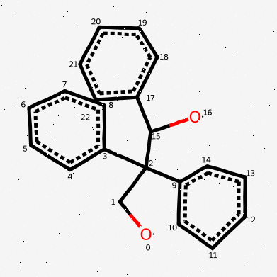 [O]CC(c1ccccc1)(c1ccccc1)C([O])c1ccccc1